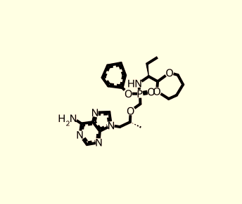 CC[C@H](NP(=O)(CO[C@H](C)Cn1cnc2c(N)ncnc21)Oc1ccccc1)C1OCCCCO1